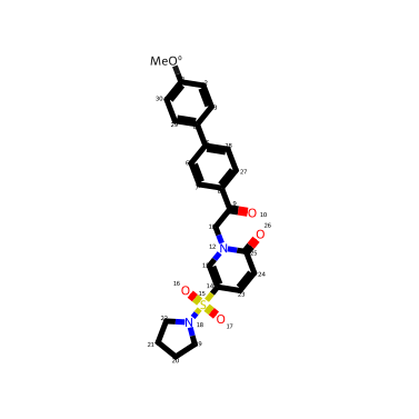 COc1ccc(-c2ccc(C(=O)Cn3cc(S(=O)(=O)N4CCCC4)ccc3=O)cc2)cc1